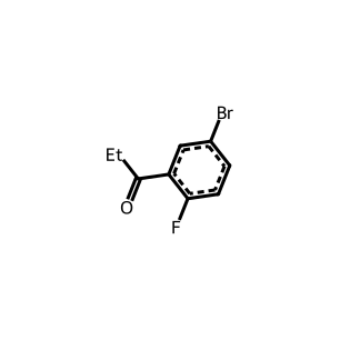 CCC(=O)c1cc(Br)ccc1F